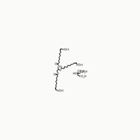 CCCCCCCC/C=C\CCCCCCCC(=O)OCC(COC(=O)CCCCCCC/C=C\CCCCCCCC)OC(=O)CCCCCCC/C=C\CCCCCCCC.O=C(O)CC(O)(CC(=O)O)C(=O)O